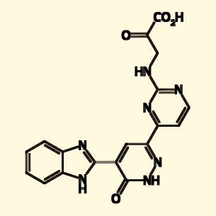 O=C(O)C(=O)CNc1nccc(-c2cc(-c3nc4ccccc4[nH]3)c(=O)[nH]n2)n1